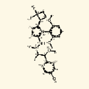 COc1cccc(OC)c1-n1c(N[S+]([O-])C(C)C(OC)c2ncc(Cl)cn2)nnc1C1CCC1(F)F